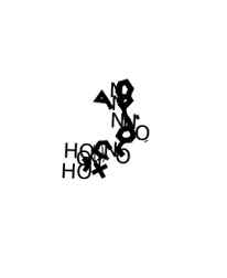 COc1cc(C(=O)N2CC[C@@H](O)[C@@H](N(C(=O)O)C(C)(C)C)C2)cc2nc(-c3cc4cccnc4n3CC3CC3)n(C)c12